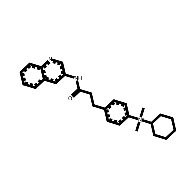 C[N+](C)(c1ccc(CCC(=O)Nc2cnc3ccccc3c2)cc1)C1CCCCC1